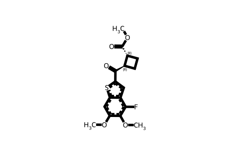 COC(=O)[C@@H]1CC[C@H]1C(=O)c1cc2c(F)c(OC)c(OC)cc2s1